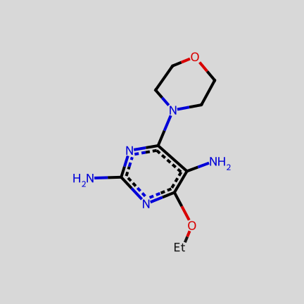 CCOc1nc(N)nc(N2CCOCC2)c1N